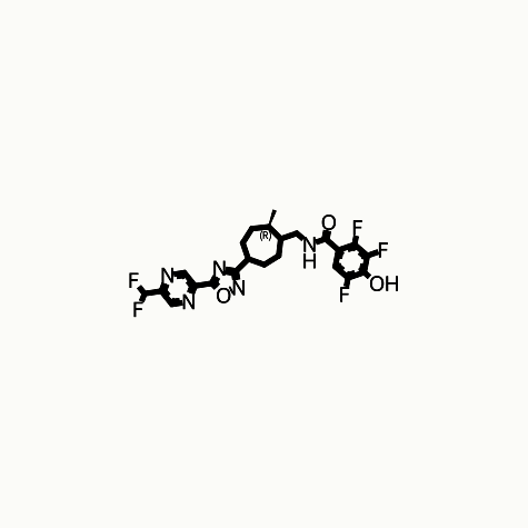 C[C@@H]1CCC(c2noc(-c3cnc(C(F)F)cn3)n2)CCC1CNC(=O)c1cc(F)c(O)c(F)c1F